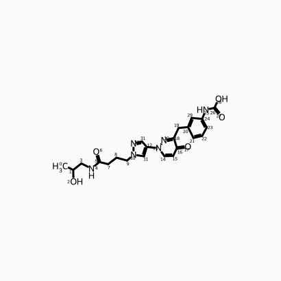 CC(O)CNC(=O)CCCn1cc(-n2ccc(=O)c(Cc3cccc(NC(=O)O)c3)n2)cn1